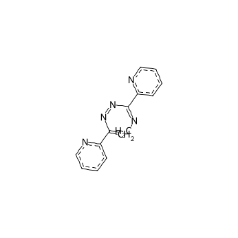 C=C(/N=N\C(=N/C)c1ccccn1)c1ccccn1